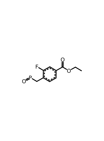 CCOC(=O)c1ccc(CP=O)c(F)c1